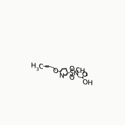 CC#CCOc1ccc(S(=O)(=O)N(C)CC(=O)O)cn1